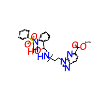 CCOC(=O)c1ccc2ncn(CCC(C)(C)NCC(O)c3ccccc3NS(=O)(=O)c3ccccc3)c2n1